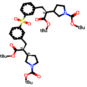 CC(C)(C)OC(=O)[C@@H](Cc1cccc(S(=O)(=O)c2cccc(C[C@H](C(=O)OC(C)(C)C)[C@H]3CCN(C(=O)OC(C)(C)C)C3)c2)c1)C1CCN(C(=O)OC(C)(C)C)C1